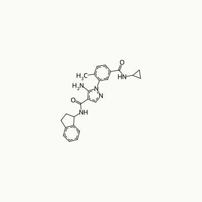 Cc1ccc(C(=O)NC2CC2)cc1-n1ncc(C(=O)NC2CCc3ccccc32)c1N